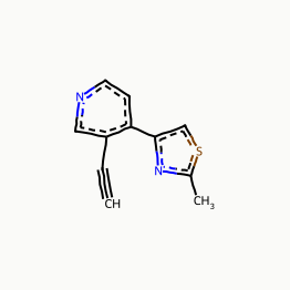 C#Cc1cnccc1-c1csc(C)n1